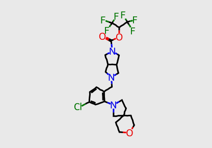 O=C(OC(C(F)(F)F)C(F)(F)F)N1CC2CN(Cc3ccc(Cl)cc3N3CCC4(CCOCC4)C3)CC2C1